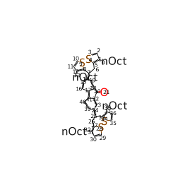 CCCCCCCCc1ccsc1CC(c1sccc1CCCCCCCC)=c1ccc2c(c1)C(=O)c1cc(=C(Cc3sccc3CCCCCCCC)c3sccc3CCCCCCCC)ccc1=2